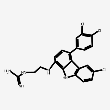 N=C(N)NCCNc1ccc(-c2ccc(Cl)c(Cl)c2)c2c1[nH]c1ccc(Cl)cc12